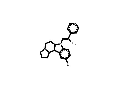 C/C(=C\N1c2ccc(Cl)cc2C2C3CCCN3CCC21)c1ccncc1